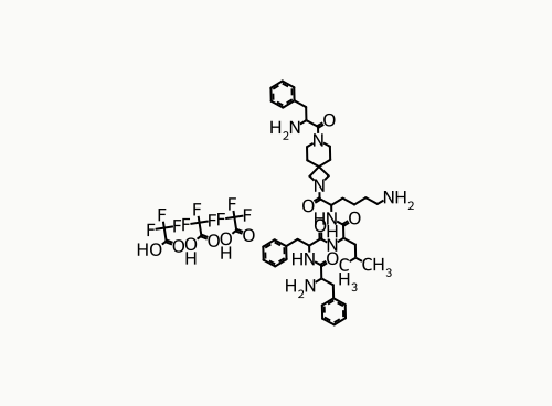 CC(C)CC(NC(=O)C(Cc1ccccc1)NC(=O)C(N)Cc1ccccc1)C(=O)NC(CCCCN)C(=O)N1CC2(CCN(C(=O)C(N)Cc3ccccc3)CC2)C1.O=C(O)C(F)(F)F.O=C(O)C(F)(F)F.O=C(O)C(F)(F)F